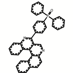 O=P(c1ccccc1)(c1ccccc1)c1ccc(-c2nc3ccccc3c3c2cnc2ccc4ccccc4c23)cc1